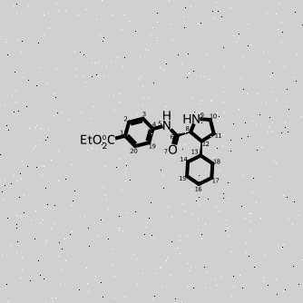 CCOC(=O)c1ccc(NC(=O)[C@H]2NCC[C@H]2C2CCCCC2)cc1